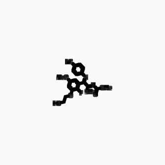 COC(=O)/N=C(SC)/C(=N/c1ccc(C#N)cc1)c1cc(OC)cc(OCCO)c1F